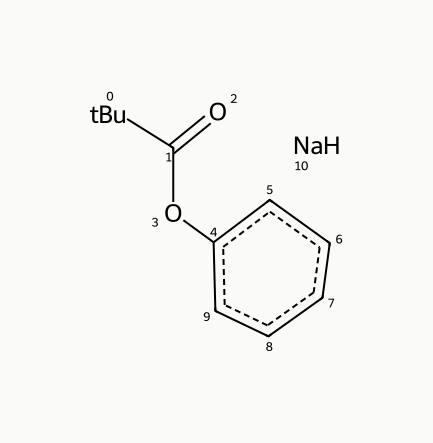 CC(C)(C)C(=O)Oc1ccccc1.[NaH]